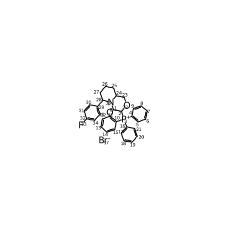 O=C1C([P+](c2ccccc2)(c2ccccc2)c2ccccc2)OCC2CCCC(c3ccc(F)cc3)N12.[Br-]